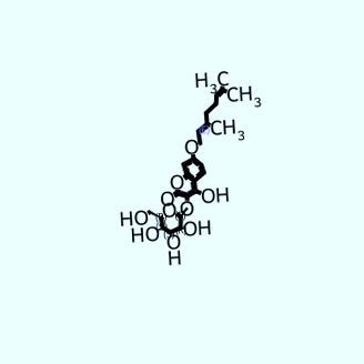 CC(C)=CCC/C(C)=C/COc1ccc2c(O)c(O[C@@H]3O[C@H](CO)[C@@H](O)[C@H](O)[C@H]3O)c(=O)oc2c1